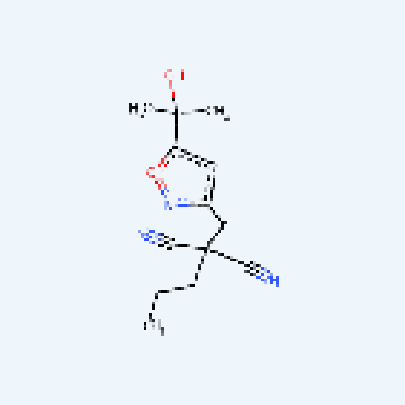 CCCC(C#N)(C#N)Cc1cc(C(C)(C)O)on1